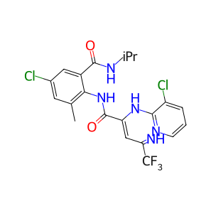 Cc1cc(Cl)cc(C(=O)NC(C)C)c1NC(=O)/C(=C/C(=N)C(F)(F)F)Nc1ncccc1Cl